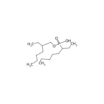 CCCCCC(CC)P(=O)(O)OCC(CC)CCCC